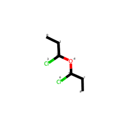 CCC(Cl)OC(Cl)CC